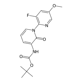 COc1cnc(-n2cccc(NC(=O)OC(C)(C)C)c2=O)c(F)c1